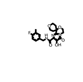 Cc1cc(CNC(=O)c2nc3n(c(=O)c2O)CCOC32CCOCC2)ccc1F